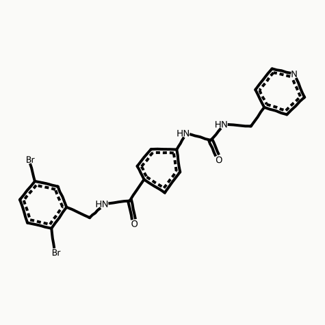 O=C(NCc1ccncc1)Nc1ccc(C(=O)NCc2cc(Br)ccc2Br)cc1